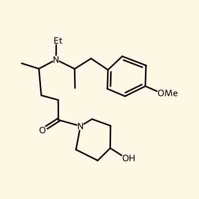 CCN(C(C)CCC(=O)N1CCC(O)CC1)C(C)Cc1ccc(OC)cc1